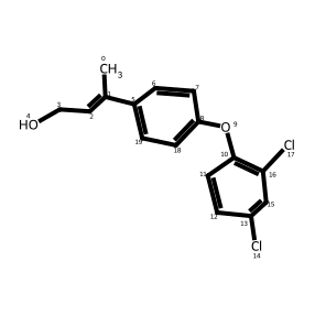 CC(=CCO)c1ccc(Oc2ccc(Cl)cc2Cl)cc1